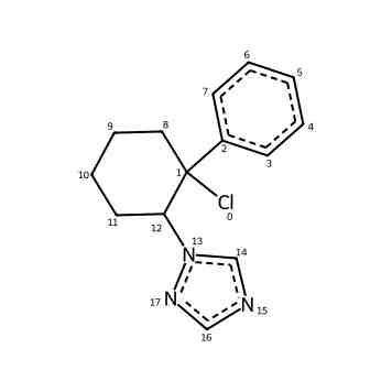 ClC1(c2ccccc2)CCCCC1n1cncn1